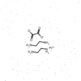 NCCN.NCCN.O=C([O-])C(=O)[O-].[Pt+2]